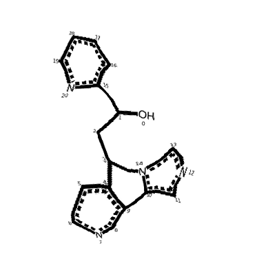 OC(CC1c2ccncc2-c2cncn21)c1ccccn1